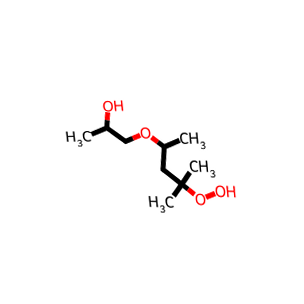 CC(O)COC(C)CC(C)(C)OO